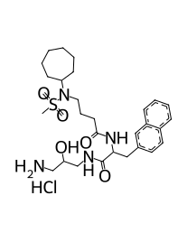 CS(=O)(=O)N(CCCC(=O)NC(Cc1ccc2ccccc2c1)C(=O)NCC(O)CN)C1CCCCCC1.Cl